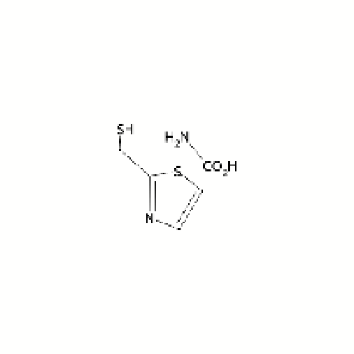 NC(=O)O.SCc1nccs1